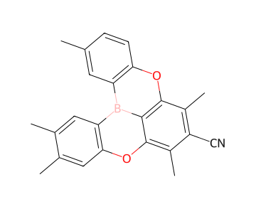 Cc1ccc2c(c1)B1c3cc(C)c(C)cc3Oc3c(C)c(C#N)c(C)c(c31)O2